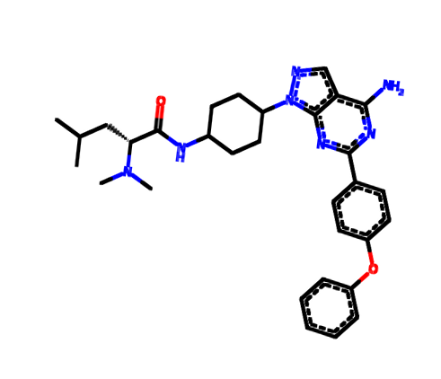 CC(C)C[C@H](C(=O)NC1CCC(n2ncc3c(N)nc(-c4ccc(Oc5ccccc5)cc4)nc32)CC1)N(C)C